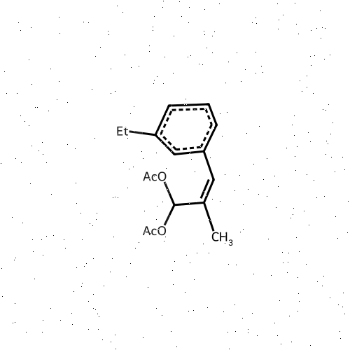 CCc1cccc(C=C(C)C(OC(C)=O)OC(C)=O)c1